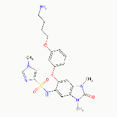 Cn1cnc(S(=O)(=O)Nc2cc3c(cc2Oc2cccc(OCCCCN)c2)n(C)c(=O)n3C)c1